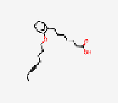 CCC#CCCCCOC1C2CCC(C2)C1CCCCCCC(=O)O